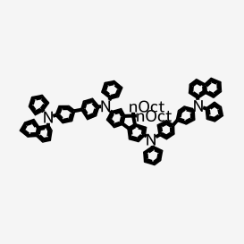 CCCCCCCCC1(CCCCCCCC)c2cc(N(c3ccccc3)c3ccc(-c4ccc(N(c5ccccc5)c5cccc6ccccc56)cc4)cc3)ccc2-c2ccc(N(c3ccccc3)c3ccc(-c4ccc(N(c5ccccc5)c5cccc6ccccc56)cc4)cc3)cc21